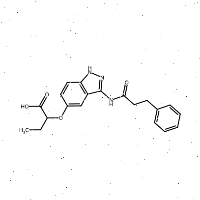 CCC(Oc1ccc2[nH]nc(NC(=O)CCc3ccccc3)c2c1)C(=O)O